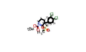 CC(C)(C)OC(=O)N1CCC[C@](CS(C)(=O)=O)(c2ccc(Cl)c(Cl)c2)C1